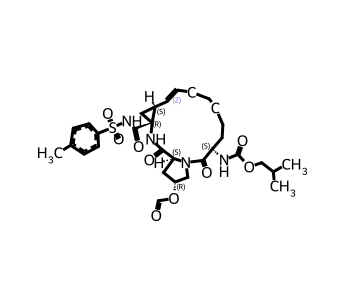 Cc1ccc(S(=O)(=O)NC(=O)[C@@]23C[C@H]2/C=C\CCCCC[C@H](NC(=O)OCC(C)C)C(=O)N2C[C@H](OC=O)C[C@H]2C(=O)N3)cc1